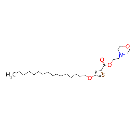 CCCCCCCCCCCCCCCCOc1csc(C(=O)OCCN2CCOCC2)c1